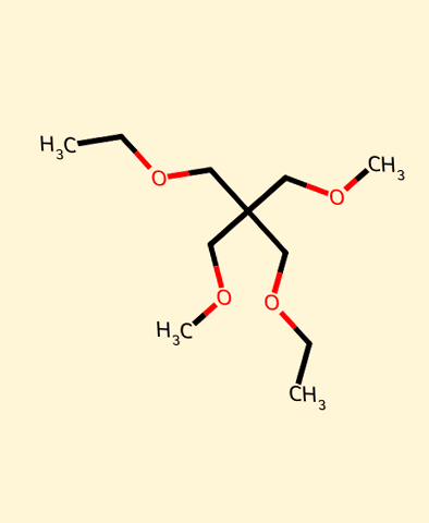 CCOCC(COC)(COC)COCC